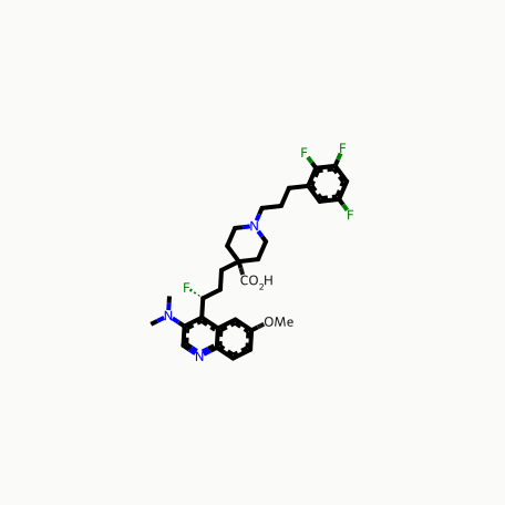 COc1ccc2ncc(N(C)C)c([C@H](F)CCC3(C(=O)O)CCN(CCCc4cc(F)cc(F)c4F)CC3)c2c1